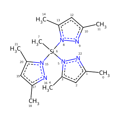 Cc1cc(C)n([Si](C)(n2nc(C)cc2C)n2nc(C)cc2C)n1